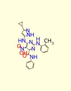 Cc1ccccc1Nc1nc(Nc2cc(C3CC3)n[nH]2)c([N+](=O)O)c(C(=O)Nc2ccccc2)n1